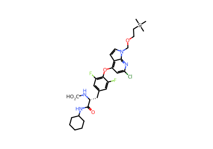 C[Si](C)(C)CCOCn1ccc2c(Oc3c(F)cc(C[C@@H](NC(=O)O)C(=O)NC4CCCCC4)cc3F)cc(Cl)nc21